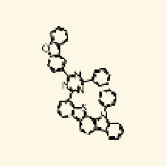 c1ccc(-c2nc(-c3ccc4oc5ccccc5c4c3)nc(-c3cccc4c3sc3c4ccc4c5ccccc5n(-c5ccccc5)c43)n2)cc1